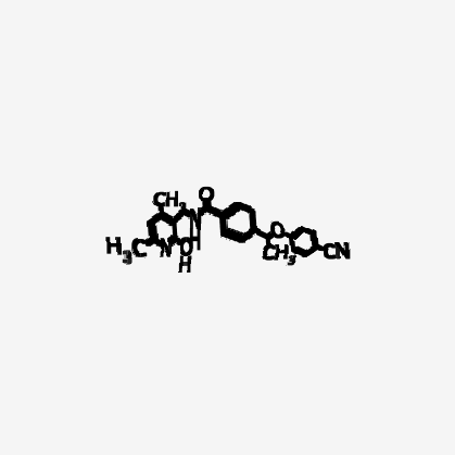 Cc1cc(C)c(CNC(=O)c2ccc(C(C)Oc3ccc(C#N)cc3)cc2)c(O)n1